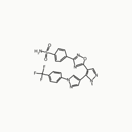 Cn1ncc(-c2nc(-c3ccc(S(N)(=O)=O)cc3)no2)c1-c1cnn(-c2ccc(C(F)(F)F)cc2)c1